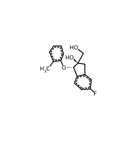 Cc1ccccc1O[C@H]1c2ccc(F)cc2C[C@@]1(O)CO